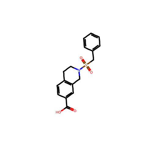 O=C(O)c1ccc2c(c1)CN(S(=O)(=O)Cc1ccccc1)CC2